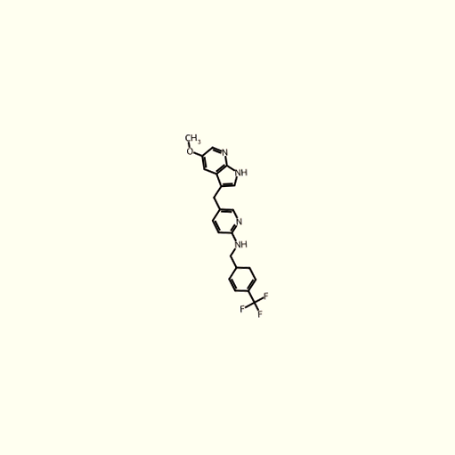 COc1cnc2[nH]cc(Cc3ccc(NCC4C=CC(C(F)(F)F)=CC4)nc3)c2c1